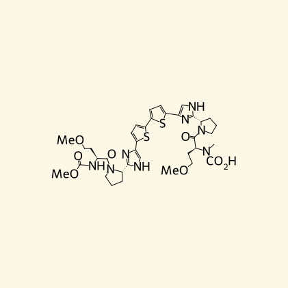 COCC[C@H](NC(=O)OC)C(=O)N1CCC[C@H]1c1nc(-c2ccc(-c3ccc(-c4c[nH]c([C@@H]5CCCN5C(=O)[C@H](CCOC)N(C)C(=O)O)n4)s3)s2)c[nH]1